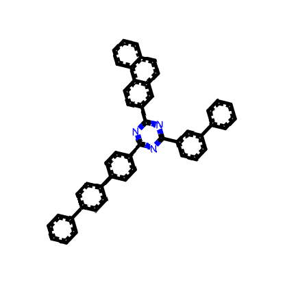 c1ccc(-c2ccc(-c3ccc(-c4nc(-c5cccc(-c6ccccc6)c5)nc(-c5ccc6c(ccc7ccccc76)c5)n4)cc3)cc2)cc1